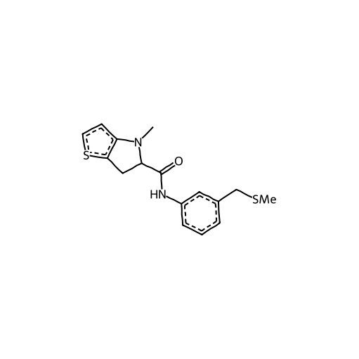 CSCc1cccc(NC(=O)C2Cc3sccc3N2C)c1